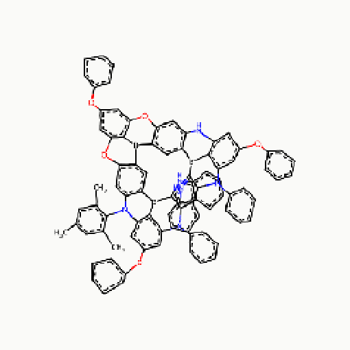 Cc1cc(C)c(N2c3cc4c(cc3B3c5[nH]c6ccccc6c5N(c5ccccc5)c5cc(Oc6ccccc6)cc2c53)B2c3cc5c(cc3Oc3cc(Oc6ccccc6)cc(c32)O4)Nc2cc(Oc3ccccc3)cc3c2B5c2[nH]c4ccccc4c2N3c2ccccc2)c(C)c1